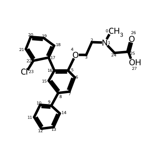 CN(CCOc1ccc(-c2ccccc2)cc1-c1ccccc1Cl)CC(=O)O